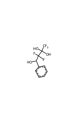 OC(c1ccccc1)C(F)(F)C(O)(O)C(F)(F)F